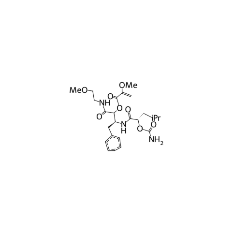 C=C(OC)C(=O)OC(C(=O)NCCOC)[C@H](Cc1ccccc1)NC(=O)[C@H](CC(C)C)OC(N)=O